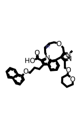 Cn1nc(COC2CCCCO2)c2c1COC/C=C\Cn1c(C(=O)O)c(CCCOc3cccc4ccccc34)c3cccc-2c31